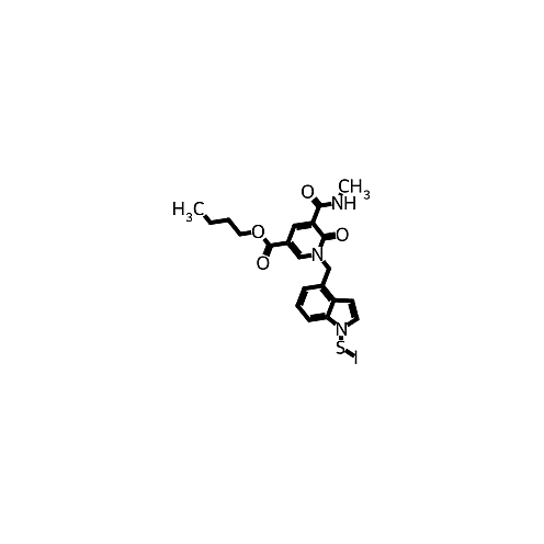 CCCCOC(=O)c1cc(C(=O)NC)c(=O)n(Cc2cccc3c2ccn3SI)c1